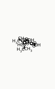 CC(C)=CCc1c(O)c(CC=C(C)C)c2oc(-c3ccc(S(=O)(=O)O)cc3)c(O)c(=O)c2c1O